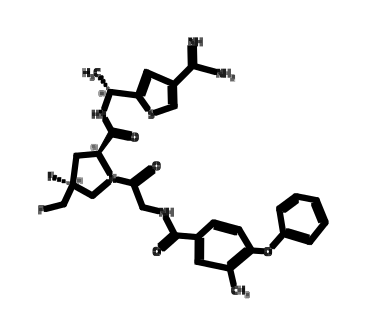 Cc1cc(C(=O)NCC(=O)N2C[C@@](F)(CF)C[C@H]2C(=O)N[C@H](C)c2cc(C(=N)N)cs2)ccc1Oc1ccccc1